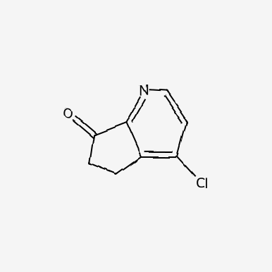 O=C1CCc2c(Cl)ccnc21